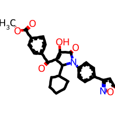 COC(=O)c1ccc(C(=O)C2=C(O)C(=O)N(c3ccc(-c4ccon4)cc3)C2C2CCCCC2)cc1